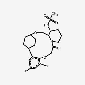 CS(=O)(=O)N[C@H]1CCCN2C(=O)COc3c(F)cc(F)cc3C3CCC(CC3)OCC12